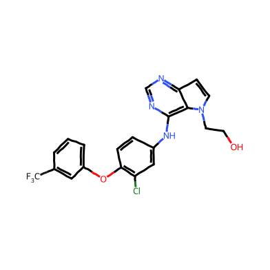 OCCn1ccc2ncnc(Nc3ccc(Oc4cccc(C(F)(F)F)c4)c(Cl)c3)c21